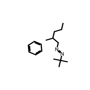 CCCC(C)CN=NC(C)(C)C.c1ccccc1